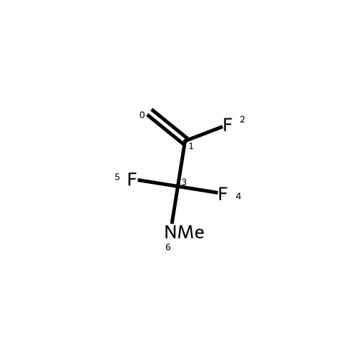 C=C(F)C(F)(F)NC